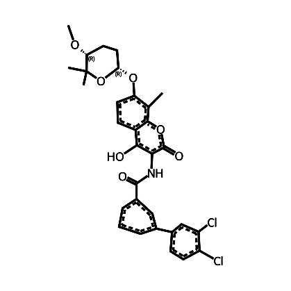 CO[C@@H]1CC[C@H](Oc2ccc3c(O)c(NC(=O)c4cccc(-c5ccc(Cl)c(Cl)c5)c4)c(=O)oc3c2C)OC1(C)C